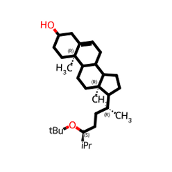 CC(C)[C@H](CC[C@@H](C)C1CCC2C3CC=C4CC(O)CC[C@]4(C)C3CC[C@@]21C)OC(C)(C)C